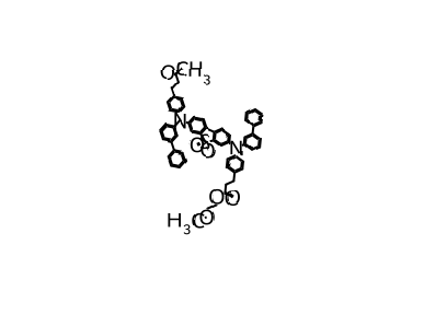 COCCOC(=O)CCc1ccc(N(c2cccc(-c3ccccc3)c2)c2ccc3c(c2)S(=O)(=O)c2cc(N(c4ccc(CCC(C)=O)cc4)c4cccc(-c5ccccc5)c4)ccc2-3)cc1